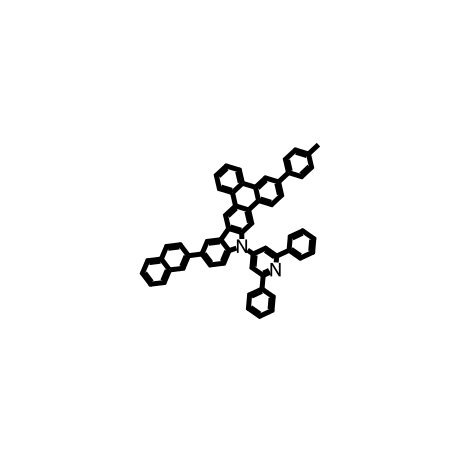 Cc1ccc(-c2ccc3c(c2)c2ccccc2c2cc4c5cc(-c6ccc7ccccc7c6)ccc5n(-c5cc(-c6ccccc6)nc(-c6ccccc6)c5)c4cc32)cc1